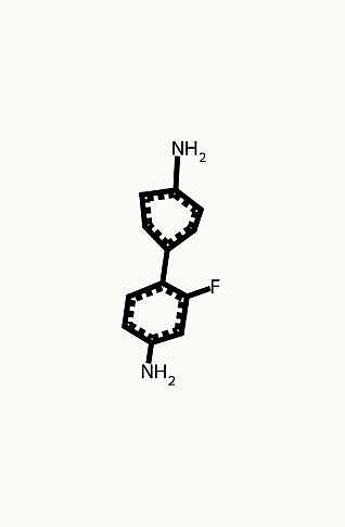 Nc1ccc(-c2ccc(N)cc2F)cc1